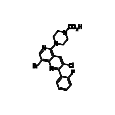 O=C(O)N1CCN(c2ncc(Br)c3nc(-c4ccccc4F)c(Cl)cc23)CC1